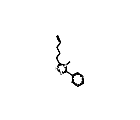 C=CCCCc1nnc(-c2cccnc2)n1C